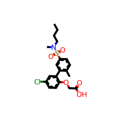 CCCCN(C)S(=O)(=O)c1ccc(C)c(-c2cc(Cl)ccc2OCC(=O)O)c1